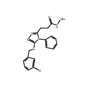 CCCCNC(=O)CCc1nnc(SCc2cccc(Cl)c2)n1-c1ccccc1